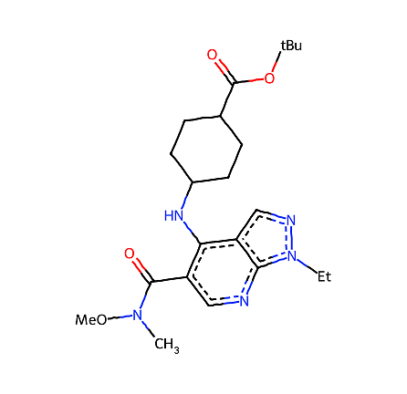 CCn1ncc2c(NC3CCC(C(=O)OC(C)(C)C)CC3)c(C(=O)N(C)OC)cnc21